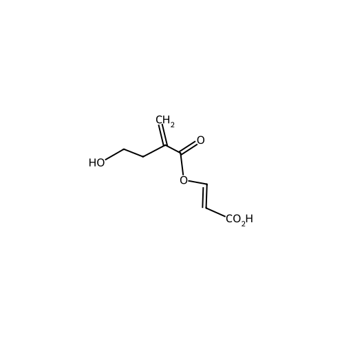 C=C(CCO)C(=O)OC=CC(=O)O